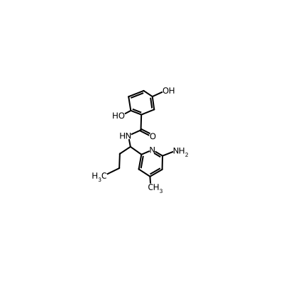 CCCC(NC(=O)c1cc(O)ccc1O)c1cc(C)cc(N)n1